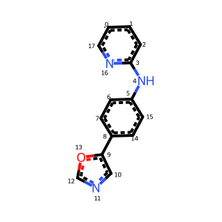 [c]1ccc(Nc2ccc(-c3cnco3)cc2)nc1